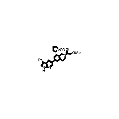 COCC(=O)N1CCc2cc(-c3cnc4[nH]cc(C(C)C)c4c3)cc([C@@H]3CCCN3C(=O)O)c2C1